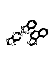 c1ccc2[nH]nnc2c1.c1ccc2c(c1)ccc1ocnc12.c1ncc2[nH]cnc2n1